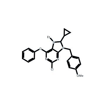 CCN1c2c(Oc3ccccc3)nc(Cl)nc2N(Cc2ccc(OC)cc2)C1C1CC1